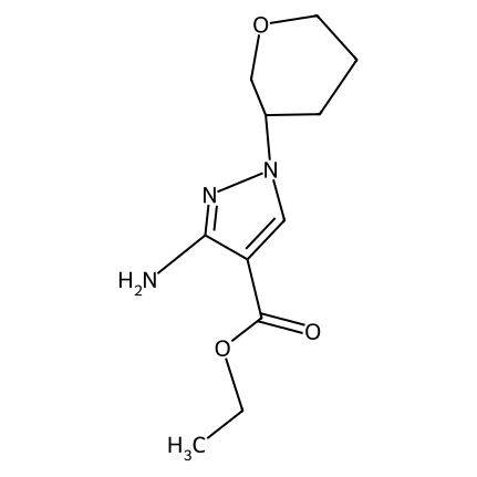 CCOC(=O)c1cn(C2CCCOC2)nc1N